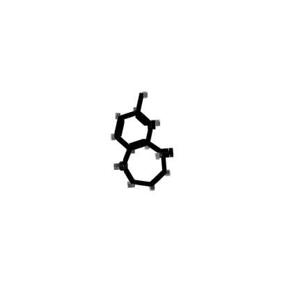 Cc1ccc2c(n1)NCCCO2